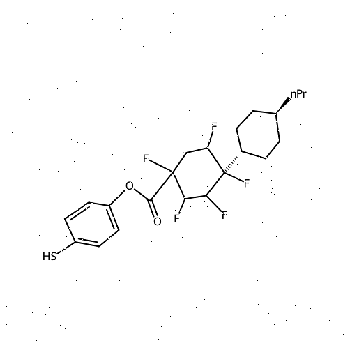 CCC[C@H]1CC[C@H](C2(F)C(F)[CH]C(F)(C(=O)Oc3ccc(S)cc3)C(F)C2F)CC1